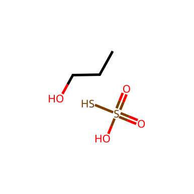 CCCO.O=S(=O)(O)S